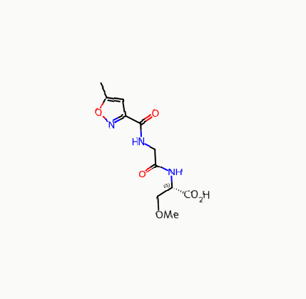 COC[C@H](NC(=O)CNC(=O)c1cc(C)on1)C(=O)O